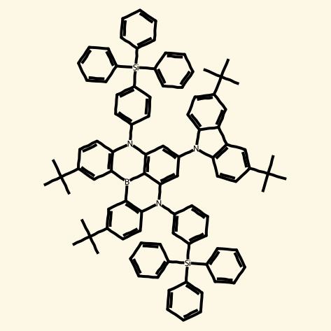 CC(C)(C)c1ccc2c(c1)B1c3cc(C(C)(C)C)ccc3N(c3cccc([Si](c4ccccc4)(c4ccccc4)c4ccccc4)c3)c3cc(-n4c5ccc(C(C)(C)C)cc5c5cc(C(C)(C)C)ccc54)cc(c31)N2c1ccc([Si](c2ccccc2)(c2ccccc2)c2ccccc2)cc1